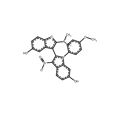 COc1ccc(-n2c(-c3c(N(C)C)oc4ccc(O)cc34)c([N+](=O)[O-])c3ccc(O)cc32)cc1